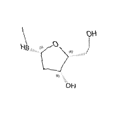 OC[C@H]1O[C@@H](BI)C[C@H]1O